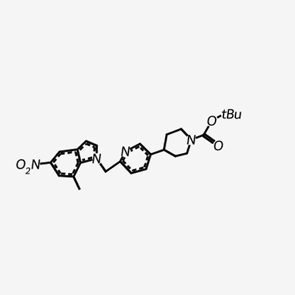 Cc1cc([N+](=O)[O-])cc2ccn(Cc3ccc(C4CCN(C(=O)OC(C)(C)C)CC4)cn3)c12